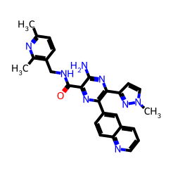 Cc1ccc(CNC(=O)c2nc(-c3ccc4ncccc4c3)c(-c3ccn(C)n3)nc2N)c(C)n1